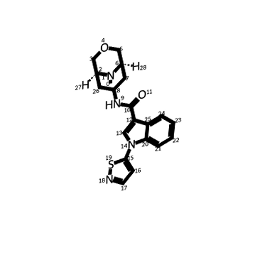 CN1[C@@H]2COC[C@H]1CC(NC(=O)c1cn(-c3ccns3)c3ccccc13)C2